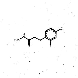 NNC(=O)COc1ccc(Cl)cc1F